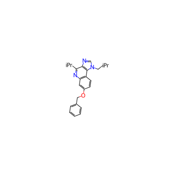 CC(C)Cn1cnc2c(C(C)C)nc3cc(OCc4ccccc4)ccc3c21